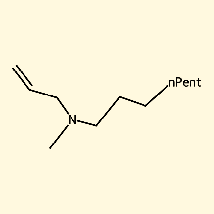 C=CCN(C)CCCCCCCC